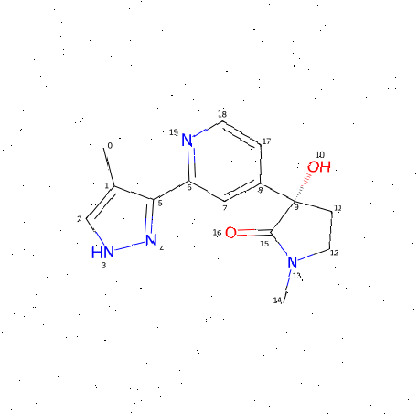 Cc1c[nH]nc1-c1cc([C@@]2(O)CCN(C)C2=O)ccn1